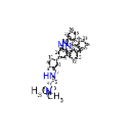 CN(C)CCCNCc1cccc(-c2ccc3c(c2)nnn3C(c2ccccc2)(c2ccccc2)c2ccccc2)c1